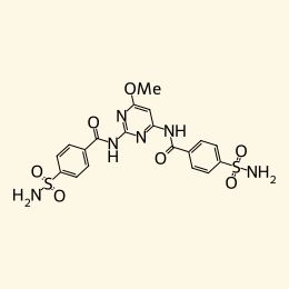 COc1cc(NC(=O)c2ccc(S(N)(=O)=O)cc2)nc(NC(=O)c2ccc(S(N)(=O)=O)cc2)n1